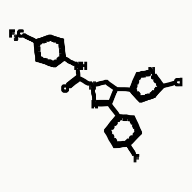 O=C(Nc1ccc(C(F)(F)F)cc1)N1CC(c2ccc(Cl)nc2)C(c2ccc(F)cc2)=N1